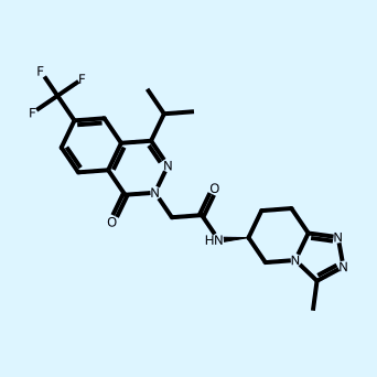 Cc1nnc2n1C[C@@H](NC(=O)Cn1nc(C(C)C)c3cc(C(F)(F)F)ccc3c1=O)CC2